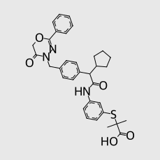 CC(C)(Sc1cccc(NC(=O)C(c2ccc(CN3N=C(c4ccccc4)OCC3=O)cc2)C2CCCC2)c1)C(=O)O